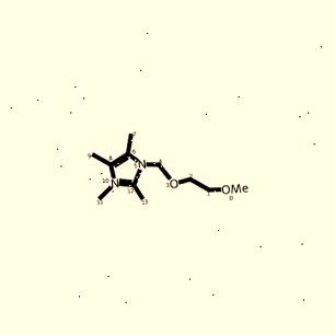 COCCOCn1c(C)c(C)[n+](C)c1C